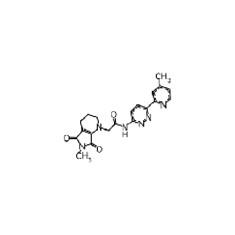 Cc1ccnc(-c2ccc(NC(=O)CN3CCCC4=C3C(=O)N(C)C4=O)nn2)c1